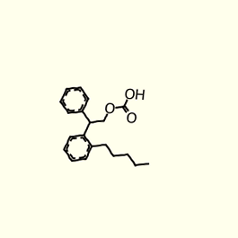 CCCCCc1ccccc1C(COC(=O)O)c1ccccc1